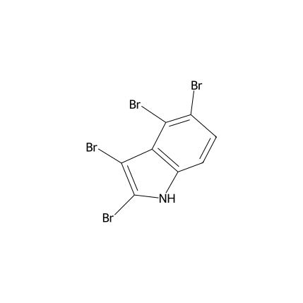 Brc1ccc2[nH]c(Br)c(Br)c2c1Br